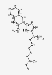 CCC(=O)CCCOCC(N)c1ncc(-c2cc3ccccc3nc2OC)[nH]1